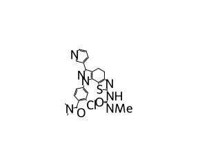 CNC(=O)Nc1nc2c(s1)-c1c(c(-c3cccnc3)nn1-c1ccc(C(=O)N(C)C)c(Cl)c1)CC2